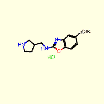 CCCCCCCCCCc1ccc2oc(NCC3CCNC3)nc2c1.Cl